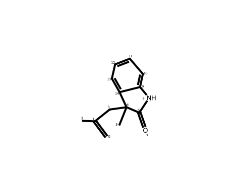 C=C(C)CC1(C)C(=O)Nc2ccccc21